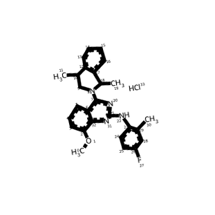 COc1cccc2c(N3CC(C)c4ccccc4C3C)nc(Nc3ccc(F)cc3C)nc12.Cl